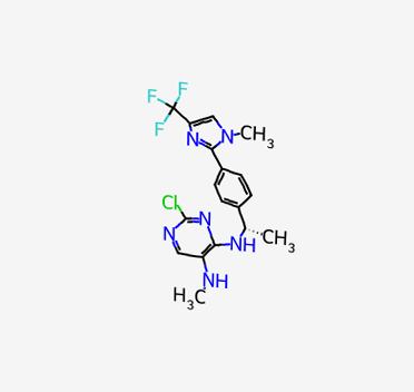 CNc1cnc(Cl)nc1N[C@@H](C)c1ccc(-c2nc(C(F)(F)F)cn2C)cc1